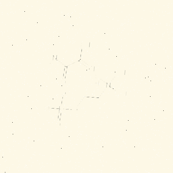 C=C(C)C(N)=O.C[N+](C)(C)CCOP(=O)([O-])O